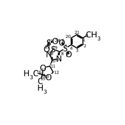 Cc1ccc(S(=O)(=O)c2nc([C@H]3COC(C)(C)O3)ns2)cc1.O=S=O